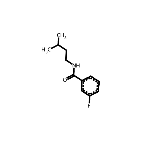 CC(C)CCNC(=O)c1cccc(F)c1